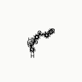 O=C(NCC(=O)N1CCNCC1)Nc1ccc(C(=O)C=Cc2cccc(N3CCOCC3)n2)cc1